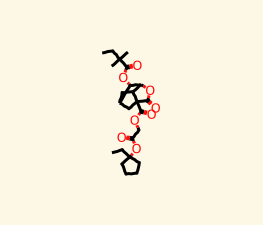 CCC1(OC(=O)COC(=O)C23CC4CC2C(OC3=O)C4OC(=O)C(C)(C)CC)CCCC1